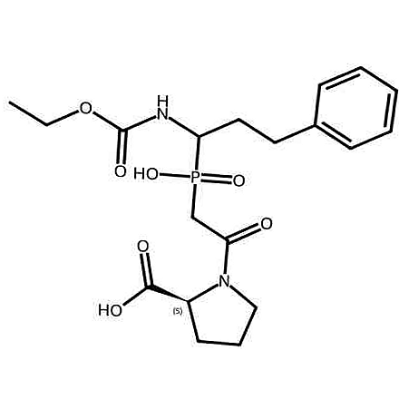 CCOC(=O)NC(CCc1ccccc1)P(=O)(O)CC(=O)N1CCC[C@H]1C(=O)O